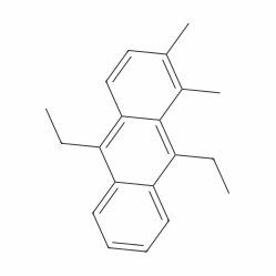 CCc1c2ccccc2c(CC)c2c(C)c(C)ccc12